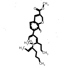 C/C=C(/CCCC)N(C)/C(=C\C(=C/C)c1ccc2c(c1F)OCC(C(=O)OC)=C2)CCC